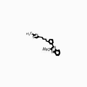 COc1nc2ccccc2nc1-c1cccc(CCCCc2csc(C)n2)c1